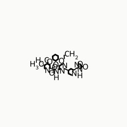 C=CCOc1nc(-c2ccnc(-c3noc(=O)[nH]3)c2)nc(NS(=O)(=O)c2ccc(C)cn2)c1Oc1ccccc1OC